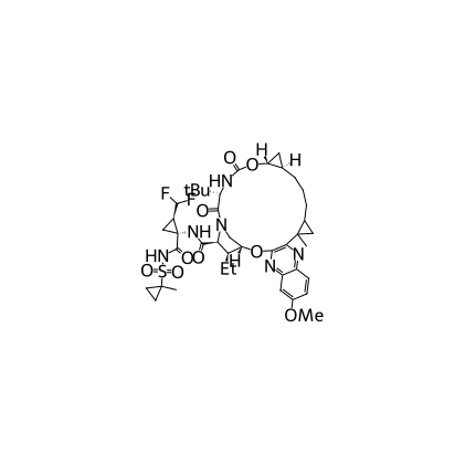 CC[C@@H]1[C@@H]2CN(C(=O)[C@H](C(C)(C)C)NC(=O)O[C@@H]3C[C@H]3CCCC3CC3(C)c3nc4ccc(OC)cc4nc3O2)[C@@H]1C(=O)N[C@]1(C(=O)NS(=O)(=O)C2(C)CC2)C[C@H]1C(F)F